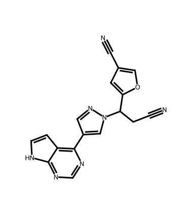 N#CCC(c1cc(C#N)co1)n1cc(-c2ncnc3[nH]ccc23)cn1